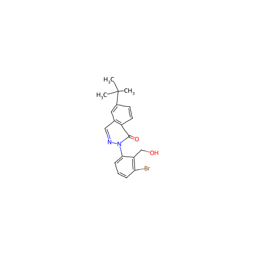 CC(C)(C)c1ccc2c(=O)n(-c3cccc(Br)c3CO)ncc2c1